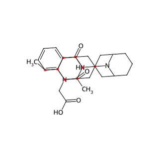 CCC1CC2CC(C1)CC(N1C3CCCC1CC(NC(=O)c1ccccc1N(CC(=O)O)C(C)=O)C3)C2